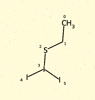 CCSI(I)I